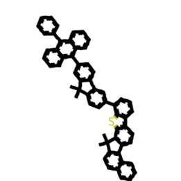 CC1(C)c2ccc(-c3cccc4c3sc3c5c(ccc34)-c3c(ccc4ccccc34)C5(C)C)cc2-c2ccc(-c3c4ccccc4c(-c4ccccc4)c4ccccc34)cc21